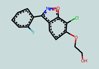 OCCOc1ccc2c(-c3ccccc3F)noc2c1Cl